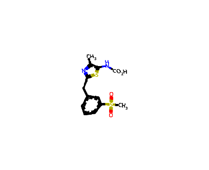 Cc1nc(Cc2cccc(S(C)(=O)=O)c2)sc1NC(=O)O